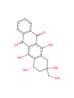 O=C1c2ccccc2C(=O)c2c(O)c3c(c(O)c21)CC(O)(CO)C[C@@H]3O